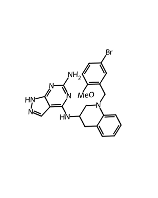 COc1ccc(Br)cc1CN1CC(Nc2nc(N)nc3[nH]ncc23)Cc2ccccc21